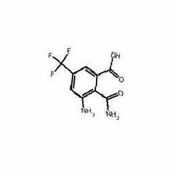 NC(=O)c1c(N)cc(C(F)(F)F)cc1C(=O)O